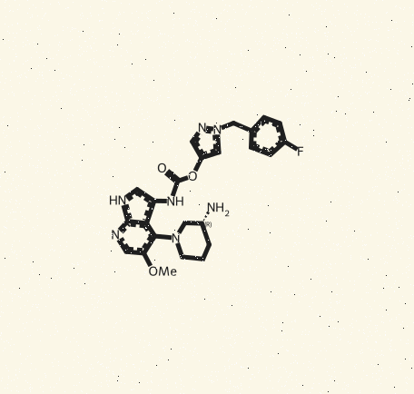 COc1cnc2[nH]cc(NC(=O)Oc3cnn(Cc4ccc(F)cc4)c3)c2c1N1CCC[C@@H](N)C1